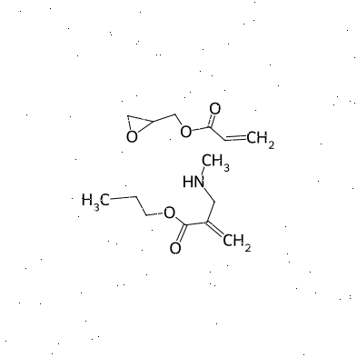 C=C(CNC)C(=O)OCCC.C=CC(=O)OCC1CO1